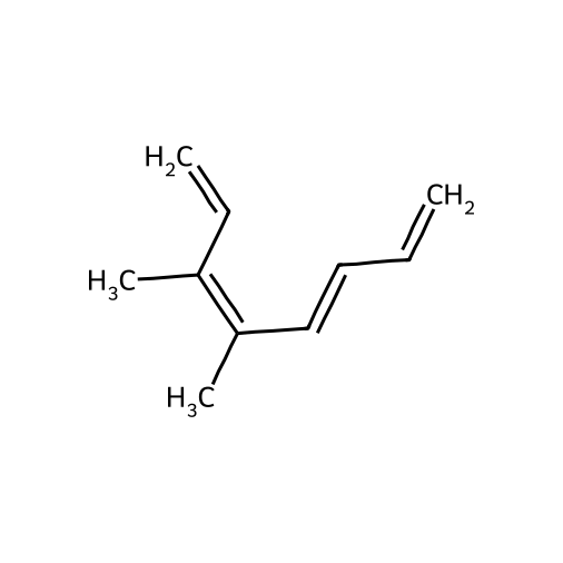 C=CC=CC(C)=C(C)C=C